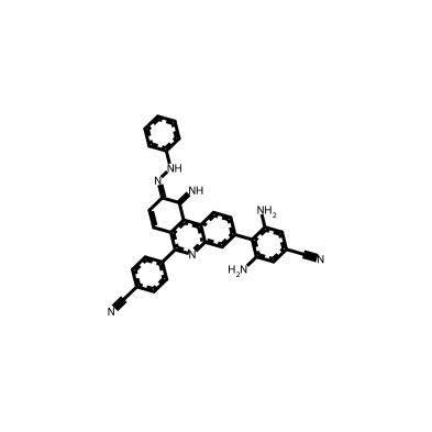 N#Cc1ccc(-c2nc3cc(-c4c(N)cc(C#N)cc4N)ccc3c3c2C=C/C(=N/Nc2ccccc2)C3=N)cc1